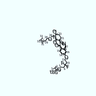 CC(C)(C)[Si](C)(C)OCCC(F)(F)CCOc1ccc2c(=O)n(C3CCC(=O)N(COCC[Si](C)(C)C)C3=O)ncc2c1